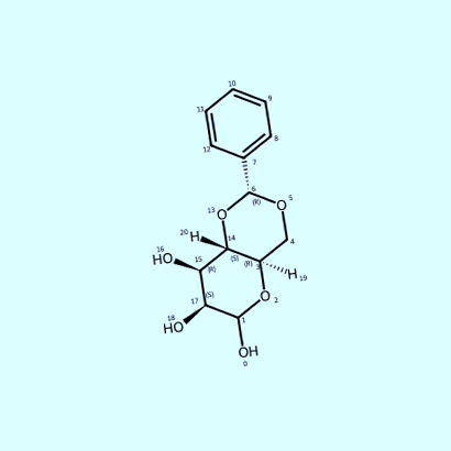 OC1O[C@@H]2CO[C@@H](c3ccccc3)O[C@H]2[C@H](O)[C@@H]1O